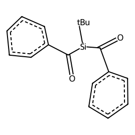 CC(C)(C)[Si](C(=O)c1ccccc1)C(=O)c1ccccc1